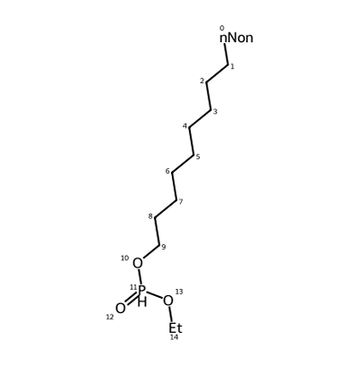 CCCCCCCCCCCCCCCCCCO[PH](=O)OCC